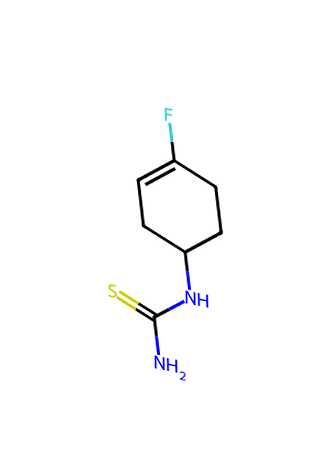 NC(=S)NC1CC=C(F)CC1